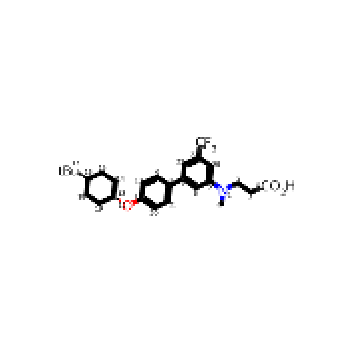 CN(CCC(=O)O)c1cc(-c2ccc(O[C@H]3CC[C@H](C(C)(C)C)CC3)cc2)cc(C(F)(F)F)c1